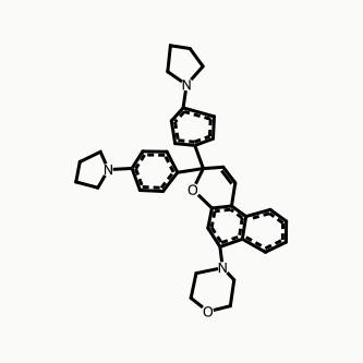 C1=CC(c2ccc(N3CCCC3)cc2)(c2ccc(N3CCCC3)cc2)Oc2cc(N3CCOCC3)c3ccccc3c21